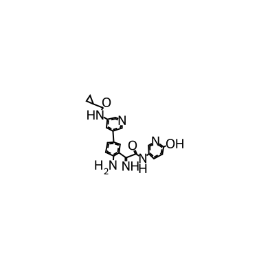 N=C(C(=O)Nc1ccc(O)nc1)c1cc(-c2cncc(NC(=O)C3CC3)c2)ccc1N